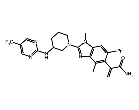 C=C(C(N)=O)c1c(C(C)C)cc2c(nc(N3CCCC(Nc4ncc(C(F)(F)F)cn4)C3)n2C)c1C